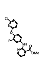 COC(=O)c1cccnc1Nc1ccc(Oc2ccnc(Cl)n2)c(F)c1